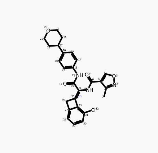 Cc1nocc1C(=O)N/C(C(=O)Nc1ccc(C2CCOCC2)cc1)=C1/Cc2cccc(Cl)c21